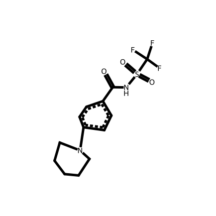 O=C(NS(=O)(=O)C(F)(F)F)c1ccc(N2CCCCC2)cc1